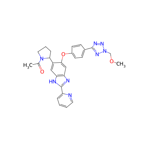 COCn1nnc(-c2ccc(Oc3cc4nc(-c5ccccn5)[nH]c4cc3C3CCCN3C(C)=O)cc2)n1